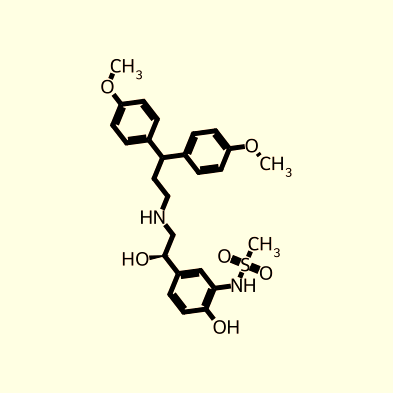 COc1ccc(C(CCNC[C@H](O)c2ccc(O)c(NS(C)(=O)=O)c2)c2ccc(OC)cc2)cc1